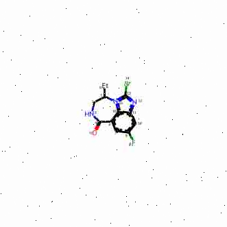 CCC1CNC(=O)c2cc(F)cc3nc(Br)n1c23